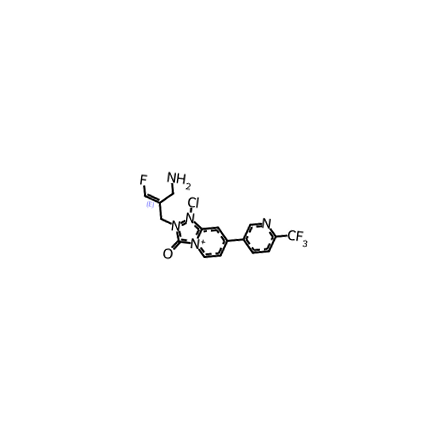 NC/C(=C\F)Cn1c(=O)[n+]2ccc(-c3ccc(C(F)(F)F)nc3)cc2n1Cl